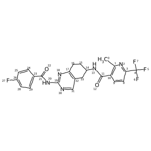 Cc1nc(C(F)(F)F)ccc1C(=O)NC1CCc2nc(NC(=O)c3ccc(F)cc3)ncc2C1